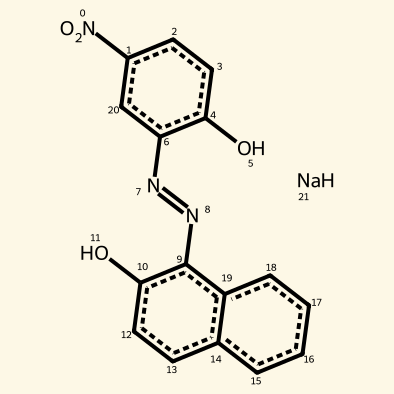 O=[N+]([O-])c1ccc(O)c(N=Nc2c(O)ccc3ccccc23)c1.[NaH]